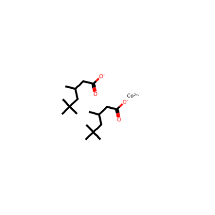 CC(CC(=O)[O-])CC(C)(C)C.CC(CC(=O)[O-])CC(C)(C)C.[Co+2]